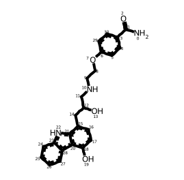 NC(=O)c1ccc(OCCNCC(O)Cc2ccc(O)c3c2[nH]c2ccccc23)cc1